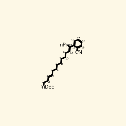 CCCCCCCCCCCCC=CCCCCCCCC=C(CCC)c1ccccc1C#N